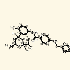 Cc1noc(COc2cnc(C(=O)Nc3ccc(F)c([C@]4(C)C[C@](C)(C(F)F)SC(N)=N4)c3)cn2)n1